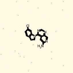 Nc1cc2c(N3CCc4ccc(Cl)cc43)ncnc2cn1